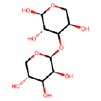 OC1[C@H](O)CO[C@@H](OC2[C@H](O)CO[C@H](O)[C@H]2O)[C@H]1O